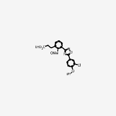 CCOC(=O)CCc1cccc(-c2noc(-c3ccc(OC(C)C)c(Cl)c3)n2)c1OC